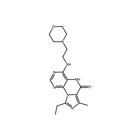 CCc1nc(C)c2c(=O)[nH]c3c(NCCN4CCOCC4)ncnc3n12